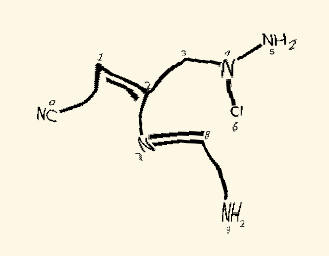 N#CC=C(CN(N)Cl)N=CN